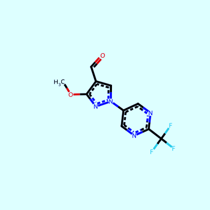 COc1nn(-c2cnc(C(F)(F)F)nc2)cc1C=O